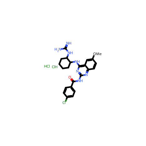 COc1ccc2nc(NC(=O)c3ccc(Cl)cc3)nc(NC3CCCCC3NC(=N)N)c2c1.Cl.Cl